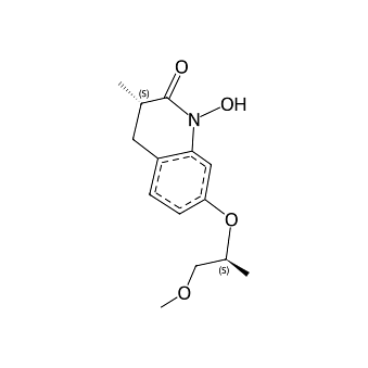 COC[C@H](C)Oc1ccc2c(c1)N(O)C(=O)[C@@H](C)C2